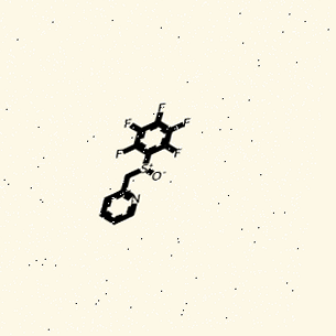 [O-][S+](Cc1ccccn1)c1c(F)c(F)c(F)c(F)c1F